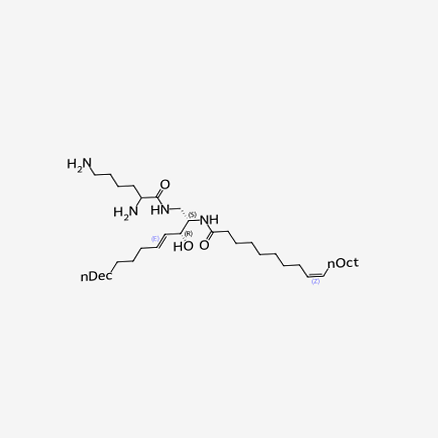 CCCCCCCC/C=C\CCCCCCCC(=O)N[C@@H](CNC(=O)C(N)CCCCN)[C@H](O)/C=C/CCCCCCCCCCCCC